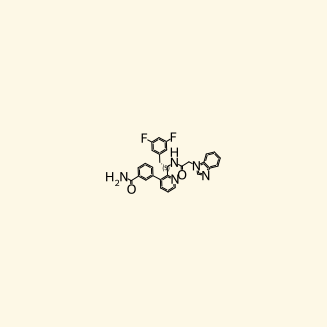 NC(=O)c1cccc(-c2cccnc2[C@H](Cc2cc(F)cc(F)c2)NC(=O)Cn2cnc3ccccc32)c1